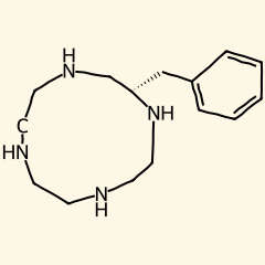 c1ccc(C[C@H]2CNCCNCCNCCN2)cc1